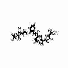 CN(Cc1cc(F)ccc1OCCNC(=O)OC(C)(C)C)c1ccn2ncc(C3=NC(C(=O)O)CO3)c2n1